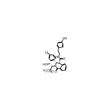 C[C@H](O)[C@H](CO)N1C(=O)c2ccccc2[C@H](C(=O)NCCc2ccc(O)cc2)[C@H]1c1ccc(Cl)cc1